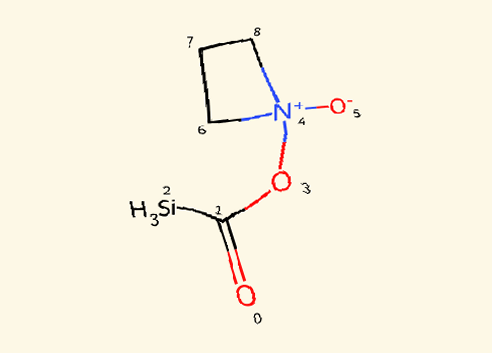 O=C([SiH3])O[N+]1([O-])CCC1